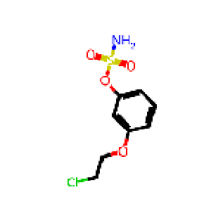 NS(=O)(=O)Oc1cccc(OCCCl)c1